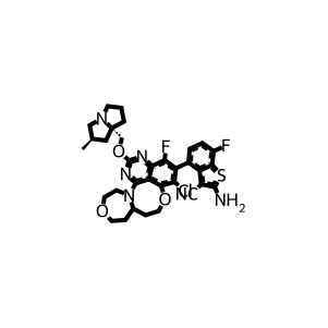 C[C@H]1CN2CCC[C@@]2(COc2nc3c4c(c(Cl)c(-c5ccc(F)c6sc(N)c(C#N)c56)c(F)c4n2)OCCC2CCOCCN32)C1